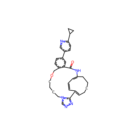 O=C1N/C2=C/C=C\C(=C\CCCC2)c2nncn2CCCCOCc2ccc(-c3ccc(C4CC4)nc3)cc21